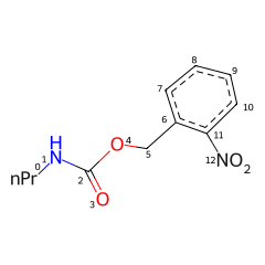 CCCNC(=O)OCc1ccccc1[N+](=O)[O-]